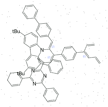 C=C/C=C(\C=C)c1ccc(C(=C/C(=C)c2nc(C3=CCCC=C3)nc(-c3ccccc3)n2)/C(=C/c2ccc(-c3ccccc3)cc2)n2c3ccc(C(C)(C)C)cc3c3cc(C(C)(C)C)cc(-c4ccccc4)c32)cc1